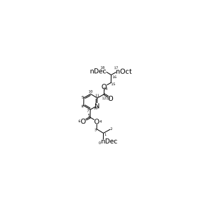 CCCCCCCCCCC(C)COC(=O)c1cccc(C(=O)OCC(CCCCCCCC)CCCCCCCCCC)n1